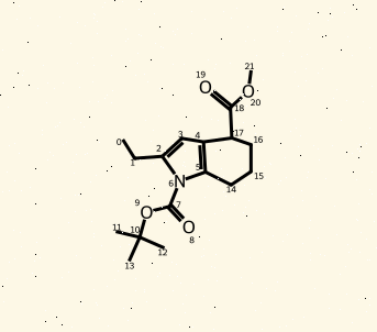 CCc1cc2c(n1C(=O)OC(C)(C)C)CCCC2C(=O)OC